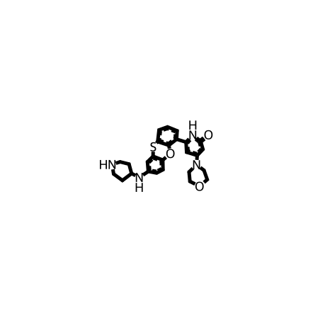 O=c1cc(N2CCOCC2)cc(-c2cccc3c2Oc2ccc(NC4CCNCC4)cc2S3)[nH]1